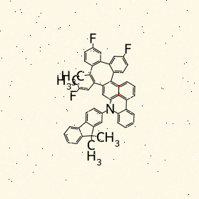 C/C1=C(\C=C(/C)F)c2cc(N(c3ccc4c(c3)C(C)(C)c3ccccc3-4)c3ccccc3-c3ccccc3)ccc2-c2ccc(F)cc2-c2cc(F)ccc21